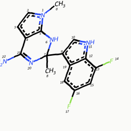 Cn1ccc2c1NC(C)(c1c[nH]c3c(F)cc(F)cc13)N=C2N